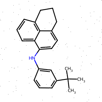 CC(C)(C)c1cccc(Nc2ccc3c4c(cccc24)CCC3)c1